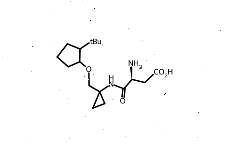 CC(C)(C)C1CCCC1OCC1(NC(=O)[C@@H](N)CC(=O)O)CC1